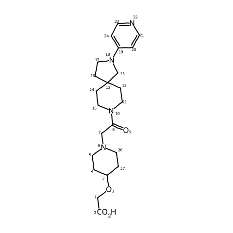 O=C(O)COC1CCN(CC(=O)N2CCC3(CC2)CCN(c2ccncc2)C3)CC1